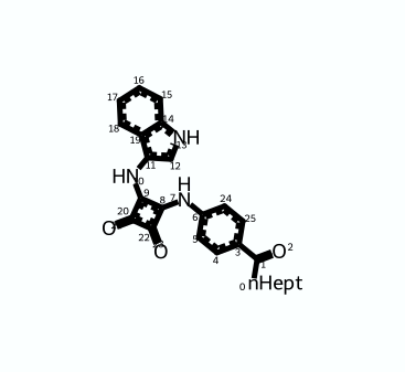 CCCCCCCC(=O)c1ccc(Nc2c(Nc3c[nH]c4ccccc34)c(=O)c2=O)cc1